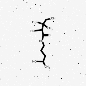 CC(O)CCCNC(=O)C(O)C(C)(C)CO